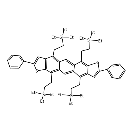 CC[Si](CC)(CC)CCc1c2cc3c(CC[Si](CC)(CC)CC)c4sc(-c5ccccc5)cc4c(CC[Si](CC)(CC)CC)c3cc2c(CC[Si](CC)(CC)CC)c2sc(-c3ccccc3)cc12